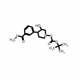 COC(=O)c1cccc(C2CCN(OC(=O)OC(C)(C)C)CC2O)c1